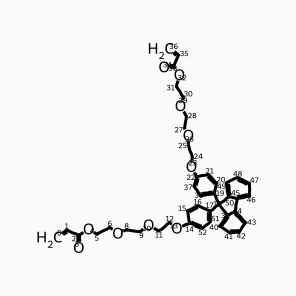 C=CC(=O)OCCOCCOCCOc1ccc(C2(c3ccc(OCCOCCOCCOC(=O)C=C)cc3)c3ccccc3-c3ccccc32)cc1